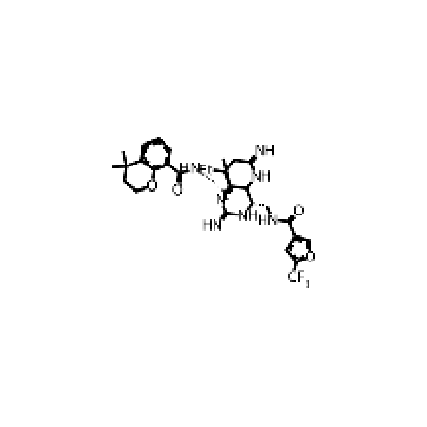 CCC1CC(=N)NC2[C@H](CNC(=O)c3coc(C(F)(F)F)c3)NC(=N)N3C[C@H](NC(=O)c4cccc5c4OCCC5(C)C)C(C)C123